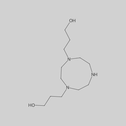 OCCCN1CCNCCN(CCCO)CC1